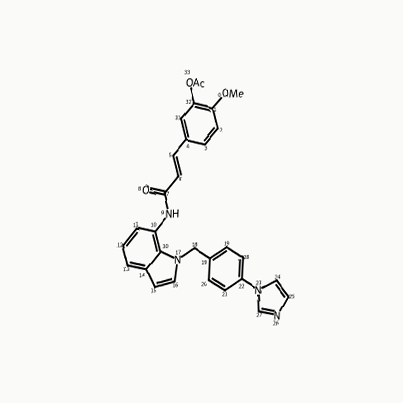 COc1ccc(C=CC(=O)Nc2cccc3ccn(Cc4ccc(-n5ccnc5)cc4)c23)cc1OC(C)=O